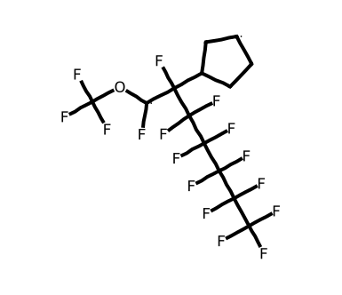 F[C](OC(F)(F)F)C(F)(C1C[CH]CC1)C(F)(F)C(F)(F)C(F)(F)C(F)(F)C(F)(F)F